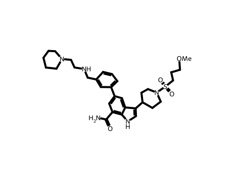 COCCCS(=O)(=O)N1CCC(c2c[nH]c3c(C(N)=O)cc(-c4cccc(CNCCN5CCCCC5)c4)cc23)CC1